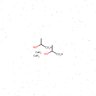 CC(O)C(=O)O.CC(O)C(=O)O.[CaH2].[CaH2]